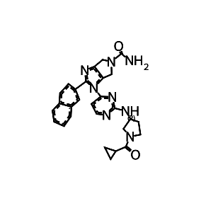 NC(=O)N1Cc2nc(-c3ccc4ccccc4c3)n(-c3ccnc(N[C@@H]4CCN(C(=O)C5CC5)C4)n3)c2C1